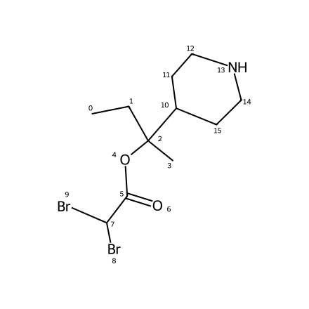 CCC(C)(OC(=O)C(Br)Br)C1CCNCC1